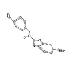 [O-][S+](Cc1ccc(Cl)cc1)c1nc2ccc(Br)cc2o1